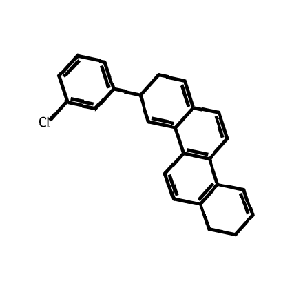 Clc1cccc(C2C=c3c(ccc4c5c(ccc34)CCC=C5)=CC2)c1